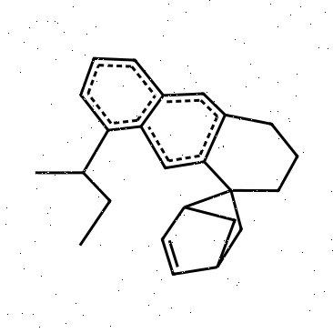 CCC(C)c1cccc2cc3c(cc12)C1(CCC3)CC2C=CC1C2